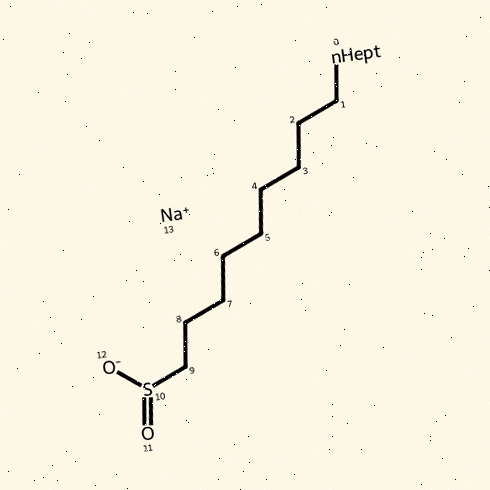 CCCCCCCCCCCCCCCCS(=O)[O-].[Na+]